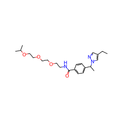 CCc1cnn(C(C)c2ccc(C(=O)NCCOCCOCCOC(C)C)cc2)c1